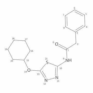 O=C(Cc1ccccc1)Nc1nnc(OC2CCCCC2)s1